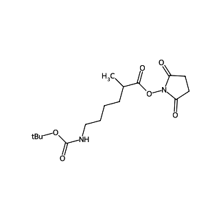 CC(CCCCNC(=O)OC(C)(C)C)C(=O)ON1C(=O)CCC1=O